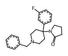 O=C1CCCN1C1(c2cccc(F)c2)CCN(Cc2ccccc2)CC1